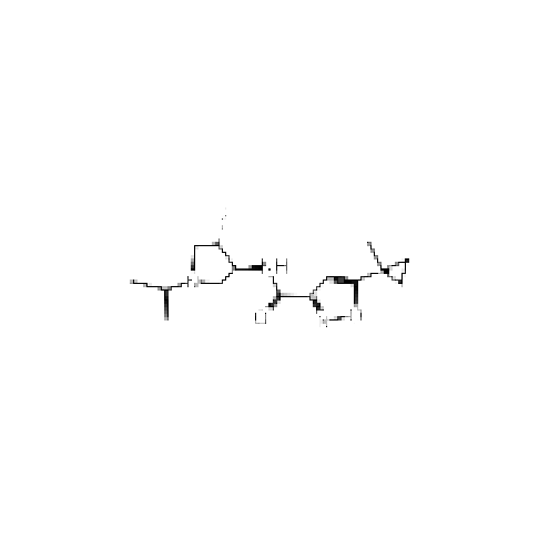 CC(C)N1C[C@H](NC(=O)c2cc(C3(C)CC3)on2)[C@@H](C)C1